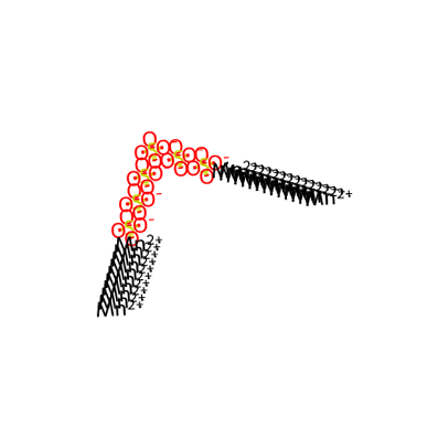 O=S(=O)([O-])[O-].O=S(=O)([O-])[O-].O=S(=O)([O-])[O-].O=S(=O)([O-])[O-].O=S(=O)([O-])[O-].O=S(=O)([O-])[O-].[Mn+2].[Mn+2].[Mn+2].[Mn+2].[Mn+2].[Mn+2].[Mn+2].[Mn+2].[Mn+2].[Mn+2].[Mn+2].[Mn+2].[Mn+2].[Mn+2].[Mn+2].[Mn+2].[Mn+2].[Mn+2].[Mn+2].[Mn+2].[Mn+2].[Mn+2].[Mn+2].[Mn+2]